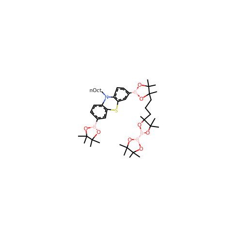 CCCCCCCCN1c2ccc(B3OC(C)(C)C(C)(C)O3)cc2Sc2cc(B3OC(C)(C)C(C)(CCCC4(C)OB(B5OC(C)(C)C(C)(C)O5)OC4(C)C)O3)ccc21